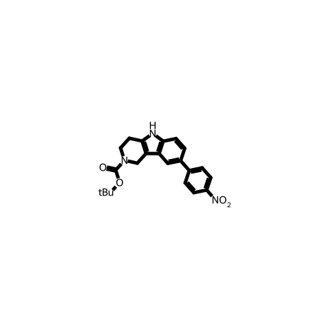 CC(C)(C)OC(=O)N1CCc2[nH]c3ccc(-c4ccc([N+](=O)[O-])cc4)cc3c2C1